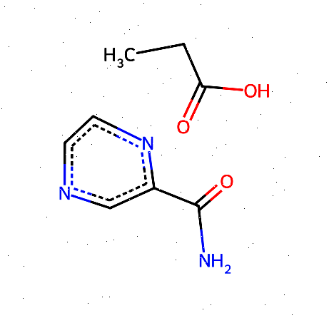 CCC(=O)O.NC(=O)c1cnccn1